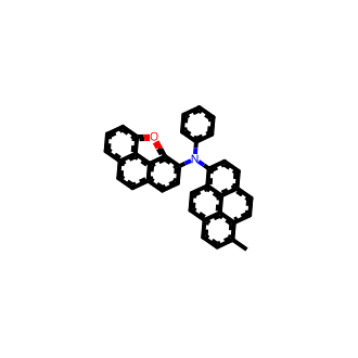 Cc1ccc2ccc3c(N(c4ccccc4)c4ccc5ccc6cccc7oc4c5c67)ccc4ccc1c2c43